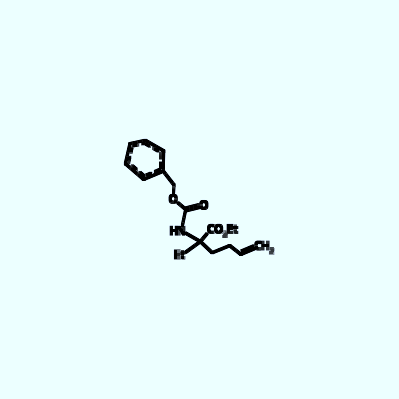 C=CCCC(CC)(NC(=O)OCc1ccccc1)C(=O)OCC